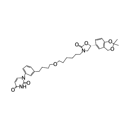 CC1(C)OCc2cc([C@@H]3CN(CCCCCCOCCCCc4cccc(-n5ccc(=O)[nH]c5=O)c4)C(=O)O3)ccc2O1